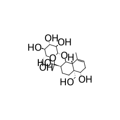 CC1=CC[C@H](O)[C@@]2(CO)CC[C@@H](C(C)(C)O)[C@@H](O[C@@H]3O[C@H](CO)[C@@H](O)[C@H](O)[C@H]3O)[C@H]12